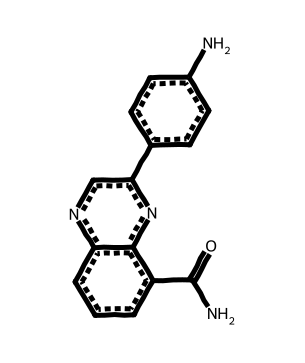 NC(=O)c1cccc2ncc(-c3ccc(N)cc3)nc12